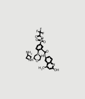 Cc1cc(O)nc2ccc(NC(=O)c3cc(S(=O)(=O)OC(=O)C(F)(F)F)ccc3N3CCOCC3)cc12.NC1CNC1